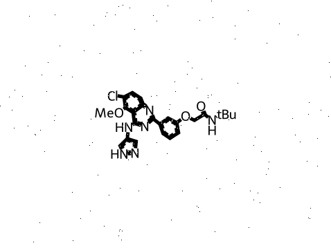 COc1c(Cl)ccc2nc(-c3cccc(OCC(=O)NC(C)(C)C)c3)nc(Nc3cn[nH]c3)c12